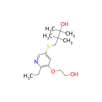 CCc1ncc(SCC(C)(C)C(C)(C)O)cc1OCCO